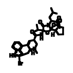 CC(C)C[C@H]1C(=O)N2CCC[C@H]2[C@]2(OC=O)O[C@](NC(=O)[C@@H]3C=C4c5cccc6[nH]c(Br)c(c56)C[C@H]4N(C)C3)(C(C)C)C(=O)N12